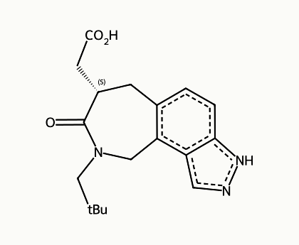 CC(C)(C)CN1Cc2c(ccc3[nH]ncc23)C[C@@H](CC(=O)O)C1=O